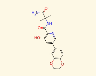 CC(C)(NC(=O)c1ncc(-c2ccc3c(c2)OCCO3)cc1O)C(N)=O